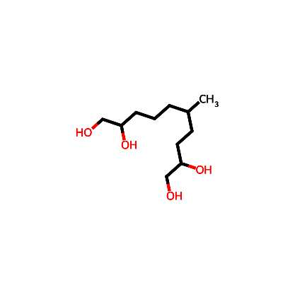 CC(CCCC(O)CO)CCC(O)CO